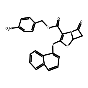 O=C(OCc1ccc([N+](=O)[O-])cc1)C1=C(Oc2cccc3ccccc23)SC2CC(=O)N12